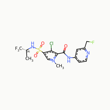 C[C@@H](NS(=O)(=O)c1cn(C)c(C(=O)Nc2ccnc(CF)c2)c1Cl)C(F)(F)F